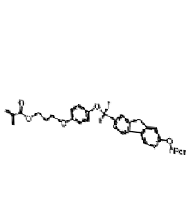 C=C(C)C(=O)OCCCOc1ccc(OC(F)(F)c2ccc3c(c2)Cc2cc(OCCCCC)ccc2-3)cc1